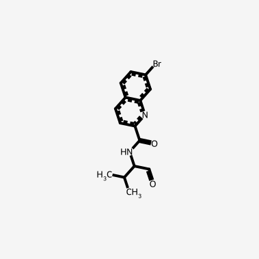 CC(C)C(C=O)NC(=O)c1ccc2ccc(Br)cc2n1